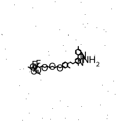 CCOP(=O)(OCC)C(F)(F)CCOCCOCCOc1ccc(CCc2cnc3c(N)nc4cc(C)ccc4c3c2)c(C)c1